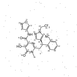 C[C@H](c1nc(C(=O)Nc2cnoc2)c(O)c(=O)n1C)[C@@H](c1cnn(CC(F)(F)F)c1)c1ccccc1C#N